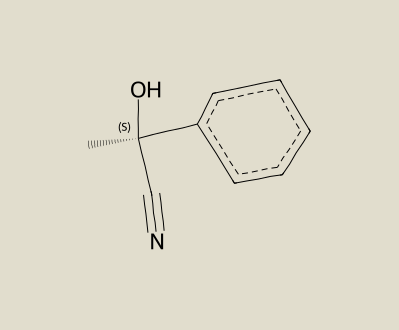 C[C@@](O)(C#N)c1ccccc1